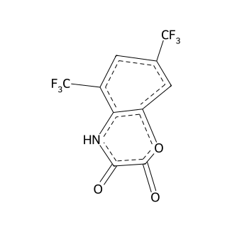 O=c1[nH]c2c(C(F)(F)F)cc(C(F)(F)F)cc2oc1=O